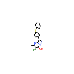 Cc1nc2c(-c3ccc(Sc4ccccc4)cc3)cnn2c(O)c1Cl